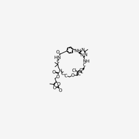 Cc1nc2nc(n1)Nc1ccc(cc1)C(=O)NCC(C)(C)CN(C(=O)OCc1oc(=O)oc1C)CCCOc1ccc(cc1Cl)CN2